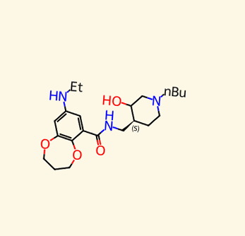 CCCCN1CC[C@@H](CNC(=O)c2cc(NCC)cc3c2OCCCO3)C(O)C1